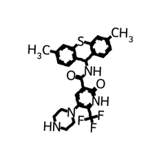 Cc1ccc2c(c1)Sc1cc(C)ccc1C2NC(=O)c1cc(N2CCNCC2)c(C(F)(F)F)[nH]c1=O